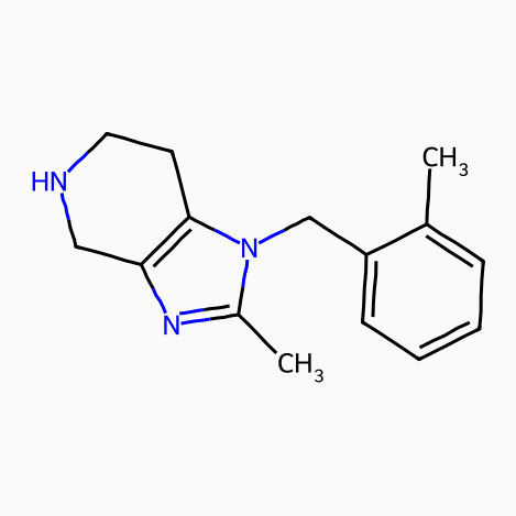 Cc1ccccc1Cn1c(C)nc2c1CCNC2